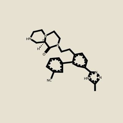 Cc1nnc(-c2ccc(CCN3CCN4CCNC[C@@H]4C3=O)c(-c3cccc(C#N)c3)c2)[nH]1